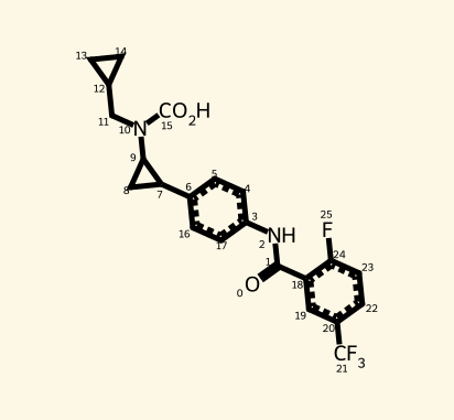 O=C(Nc1ccc(C2CC2N(CC2CC2)C(=O)O)cc1)c1cc(C(F)(F)F)ccc1F